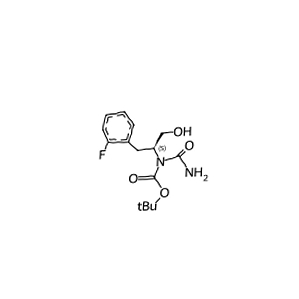 CC(C)(C)OC(=O)N(C(N)=O)[C@H](CO)Cc1ccccc1F